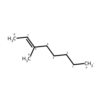 [CH2]CCCC/C(C)=[C]/C